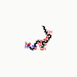 CCCCC[C@H](O)C[C@@H]1CCCC(C[C@H](CC2C[C@@H](OC(=O)/C=C\CCc3coc(/C=C\CNC(=O)OC)n3)C[C@@H](CC(=O)O)O2)OC)O1